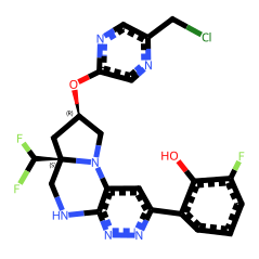 Oc1c(F)cccc1-c1cc2c(nn1)NC[C@]1(C(F)F)C[C@@H](Oc3cnc(CCl)cn3)CN21